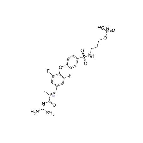 C/C(=C\c1cc(F)c(Oc2ccc(S(=O)(=O)NCCCO[PH](=O)O)cc2)c(F)c1)C(=O)N=C(N)N